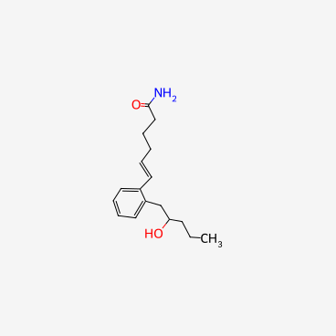 CCCC(O)Cc1ccccc1C=CCCCC(N)=O